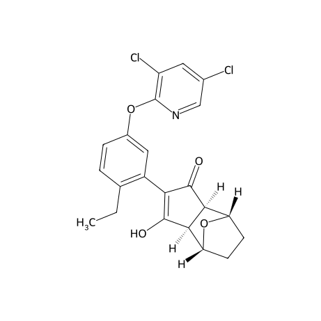 CCc1ccc(Oc2ncc(Cl)cc2Cl)cc1C1=C(O)[C@H]2[C@@H](C1=O)[C@@H]1CC[C@H]2O1